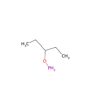 CCC(CC)OP